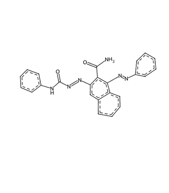 NC(=O)c1c(N=NC(=O)Nc2ccccc2)cc2ccccc2c1N=Nc1ccccc1